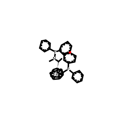 CC(N(C)P(c1ccccc1)c1ccccc1)[C@]12[CH]3[CH]4[CH]5[C]1(P(c1ccccc1)c1ccccc1)[Fe]45321678[CH]2[CH]1[CH]6[CH]7[CH]28